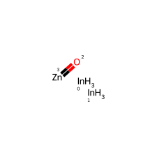 [InH3].[InH3].[O]=[Zn]